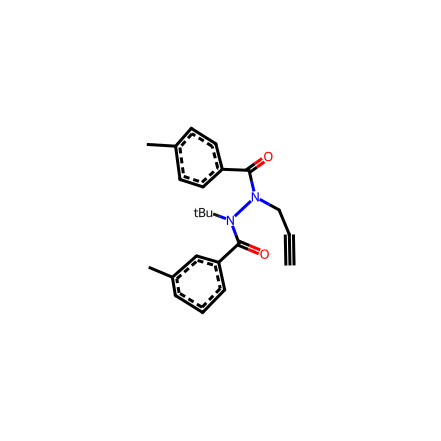 C#CCN(C(=O)c1ccc(C)cc1)N(C(=O)c1cccc(C)c1)C(C)(C)C